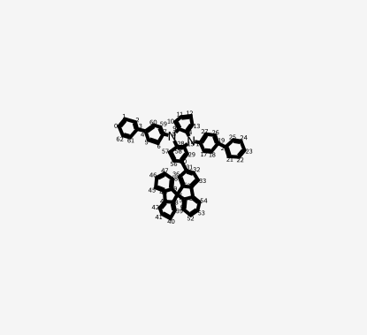 c1ccc(-c2ccc(N3c4ccccc4N(c4ccc(-c5ccccc5)cc4)c4cc(-c5ccc6c(c5)C5(c7ccccc7-c7ccccc75)c5ccccc5-6)ccc43)cc2)cc1